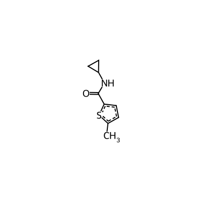 Cc1ccc(C(=O)NC2CC2)s1